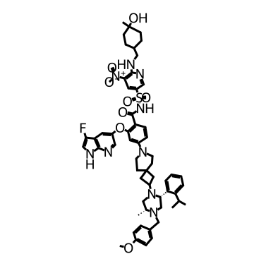 COc1ccc(CN2C[C@@H](c3ccccc3C(C)C)N(C3CC4(CCN(c5ccc(C(=O)NS(=O)(=O)c6cnc(NCC7CCC(C)(O)CC7)c([N+](=O)[O-])c6)c(Oc6cnc7[nH]cc(F)c7c6)c5)CC4)C3)C[C@H]2C)cc1